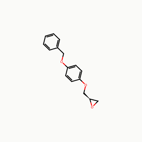 c1ccc(COc2ccc(OC[C@H]3CO3)cc2)cc1